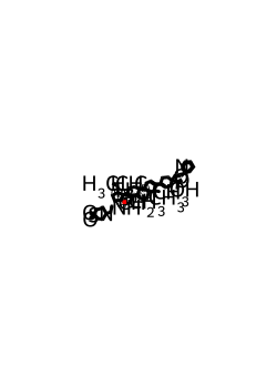 C=C[C@@]12CC[C@@]3(NCCN4CCS(=O)(=O)CC4)CC[C@@H](C(=C)C)C3[C@H]1CCC1[C@@]3(C)CC=C(C4=CCC(COc5ccccn5)(C(=O)O)CC4)C(C)(C)C3CC[C@]12C